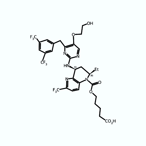 CC[C@@H]1C[C@H](Nc2ncc(OCCO)c(Cc3cc(C(F)(F)F)cc(C(F)(F)F)c3)n2)c2nc(C(F)(F)F)ccc2N1C(=O)OCCCCC(=O)O